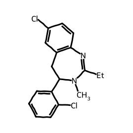 CCC1=Nc2ccc(Cl)cc2CC(c2ccccc2Cl)N1C